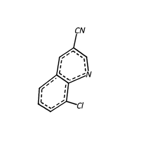 N#Cc1cnc2c(Cl)cccc2c1